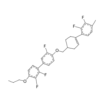 CCCOc1ccc(-c2ccc(OCC3CC=C(c4ccc(C)c(F)c4F)CC3)c(F)c2)c(F)c1F